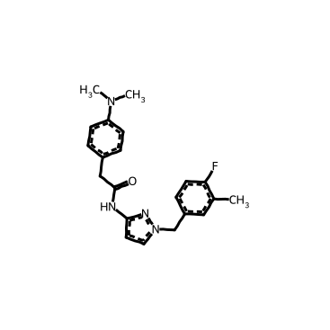 Cc1cc(Cn2ccc(NC(=O)Cc3ccc(N(C)C)cc3)n2)ccc1F